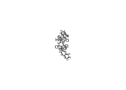 O=S(=O)(Nc1cc(Cl)c(S(=O)(=O)c2ccc3ccccc3c2)c(Cl)c1)c1c(Cl)nc2sccn12